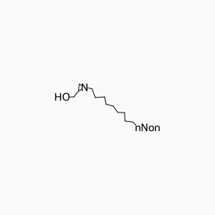 CCCCCCCCCCCCCCCCCCN1CC1CO